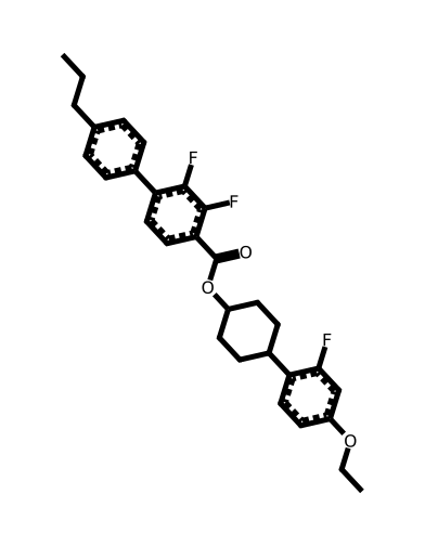 CCCc1ccc(-c2ccc(C(=O)OC3CCC(c4ccc(OCC)cc4F)CC3)c(F)c2F)cc1